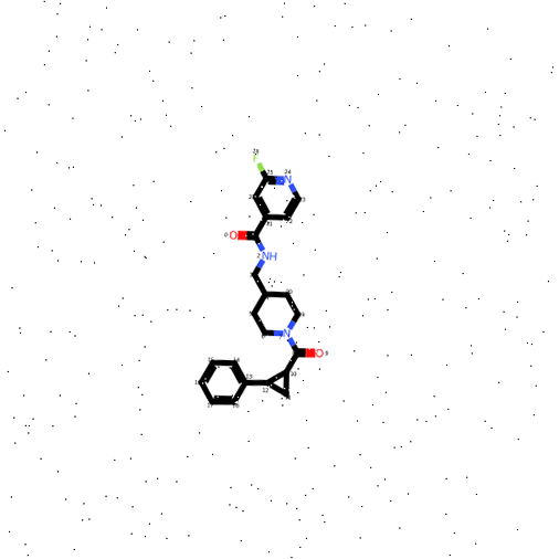 O=C(NCC1CCN(C(=O)C2CC2c2ccccc2)CC1)c1ccnc(F)c1